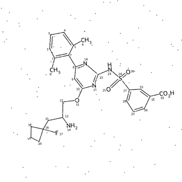 Cc1cccc(C)c1-c1cc(OCC(N)CC2(F)CCC2)nc(NS(=O)(=O)c2cccc(C(=O)O)c2)n1